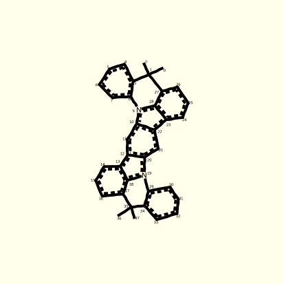 CC1(C)c2ccccc2-n2c3cc4c5cccc6c5n(c4cc3c3cccc1c32)-c1ccccc1C6(C)C